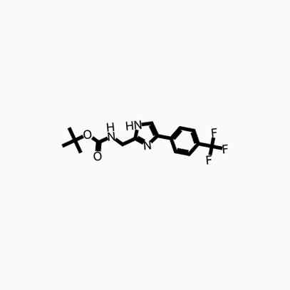 CC(C)(C)OC(=O)NCc1nc(-c2ccc(C(F)(F)F)cc2)c[nH]1